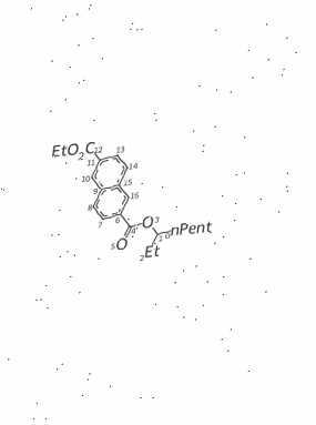 CCCCCC(CC)OC(=O)c1ccc2cc(C(=O)OCC)ccc2c1